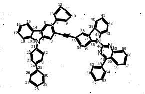 C(#Cc1cc2c(cc1-c1ccccc1)c1ccccc1n2-c1ccc(-c2ccccc2)cc1)c1ccc2c(c1)c1ccccc1n2-c1nc(-c2ccccc2)c2ccccc2n1